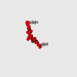 C=Cc1c(C=C)c(-c2ccc3c(c2)C(C)(C)c2c4c(c5c(oc6ccccc65)c2-3)-c2ccc(-c3c5ccccc5c(-c5ccc6c(c5)C(C)(C)c5cc(-c7ccc8c(c7)C(CCCCCCCC)(CCCCCCCC)c7ccccc7-8)ccc5-6)c5ccccc35)cc2C4(C)C)c2ccccc2c1-c1ccc2c(c1)C(C)c1cc(-c3ccc4c(c3)C(CCCCCCC)(CCCCCCCC)c3ccccc3-4)ccc1-2